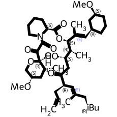 C=CC[C@H](/C=C(\C)C[C@H](C)CC)C(=O)C[C@H](O)[C@@H](C)[C@H](OC(=O)[C@@H]1CCCCN1C(=O)C(=O)[C@]1(O)OC[C@@H](OC)C[C@H]1C)/C(C)=C/[C@@H]1CCC[C@H](OC)C1